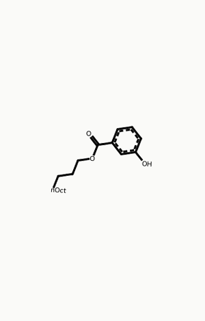 CCCCCCCCCCCOC(=O)c1cccc(O)c1